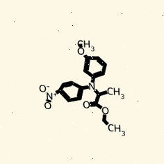 CCOC(=O)C(C)N(c1ccc([N+](=O)[O-])cc1)c1cccc(OC)c1